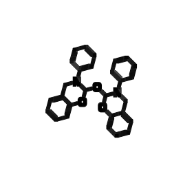 c1ccc(N2Cc3ccccc3OC2OC2Oc3ccccc3CN2c2ccccc2)cc1